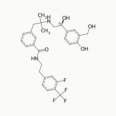 CC(C)(Cc1cccc(C(=O)NCCc2ccc(C(F)(F)F)c(F)c2)c1)NC[C@@H](O)c1ccc(O)c(CO)c1